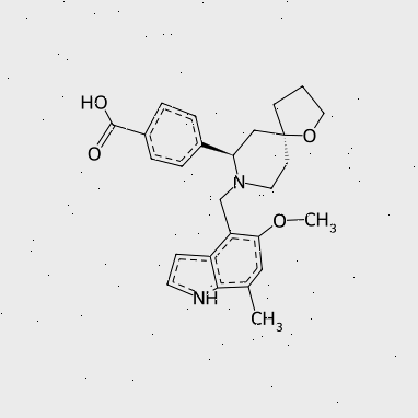 COc1cc(C)c2[nH]ccc2c1CN1CC[C@@]2(CCCO2)C[C@@H]1c1ccc(C(=O)O)cc1